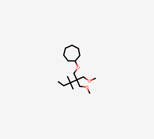 CCC(C)(C)C(COC)(COC)COC1CCCCCC1